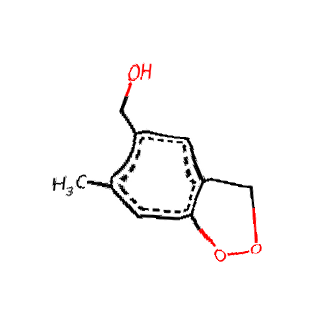 Cc1cc2c(cc1CO)COO2